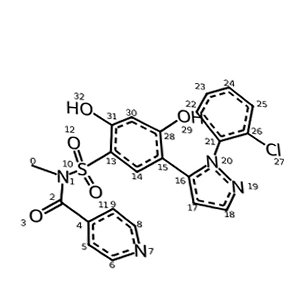 CN(C(=O)c1ccncc1)S(=O)(=O)c1cc(-c2ccnn2-c2ccccc2Cl)c(O)cc1O